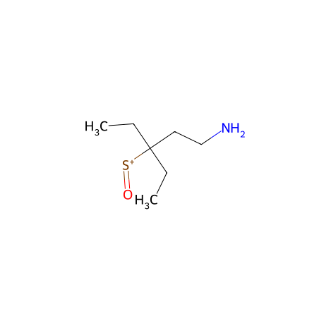 CCC(CC)(CCN)[S+]=O